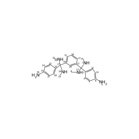 CNC(NC)(c1ccc(N)cc1)c1cccc(C(NC)(NC)c2ccc(N)cc2)c1